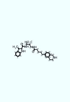 C=C1c2ccccc2NC1C(=O)NC(CCNC(=O)CCCCc1ccc2c(n1)CCNC2)C(=O)O